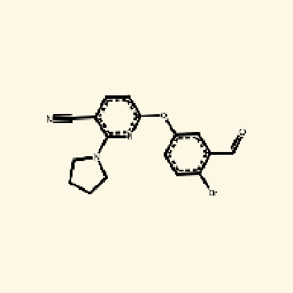 N#Cc1ccc(Oc2ccc(Br)c(C=O)c2)nc1N1CCCC1